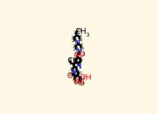 CCc1c2c(nc3ccc(OC(=O)N4CCC(N5CCC(CC)CC5)CC4)cc13)-c1cc3c(c(=O)n1C2)COC(=O)C3O